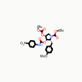 COc1ccc(C[C@@H]2[C@H](OC(=O)Nc3ccc([N+](=O)[O-])cc3)[C@@H](OC(=O)OC(C)(C)C)CN2C(=O)OC(C)(C)C)cc1